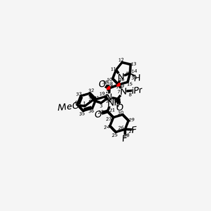 COCCCN1C(=O)N(C(C)C)C2(CC3CC[C@H](C2)N3CC[C@H](NC(=O)C2CCC(F)(F)CC2)c2ccccc2)C1=O